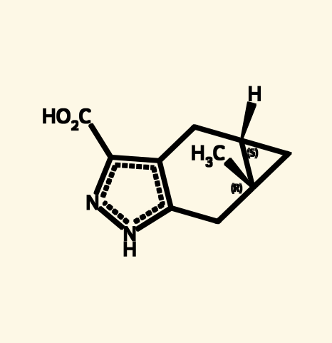 C[C@@]12Cc3[nH]nc(C(=O)O)c3C[C@@H]1C2